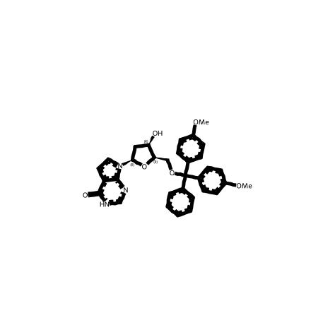 COc1ccc(C(OC[C@H]2O[C@@H](n3ccc4c(=O)[nH]cnc43)C[C@H]2O)(c2ccccc2)c2ccc(OC)cc2)cc1